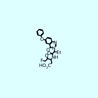 CC[C@@H](C(=O)NC(CC(=O)O)C(=O)CF)n1cnc2ccc(Oc3ccccc3)cc2c1=O